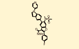 CNC(=O)c1c(-c2ccc(F)cc2)oc2cc(N(C)S(C)(=O)=O)c(-c3ccc4c(ccn4-c4ccncc4)c3)cc12